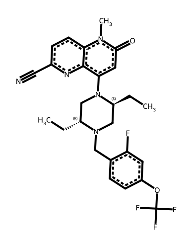 CC[C@@H]1CN(c2cc(=O)n(C)c3ccc(C#N)nc23)[C@@H](CC)CN1Cc1ccc(OC(F)(F)F)cc1F